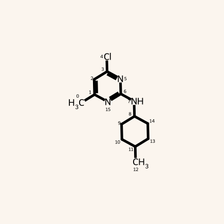 Cc1cc(Cl)nc(NC2CCC(C)CC2)n1